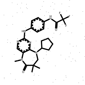 CN1C(=O)C(C)(C)CN(C2CCCC2)c2nc(Nc3ccc(NC(=O)C(F)(F)F)cc3)ncc21